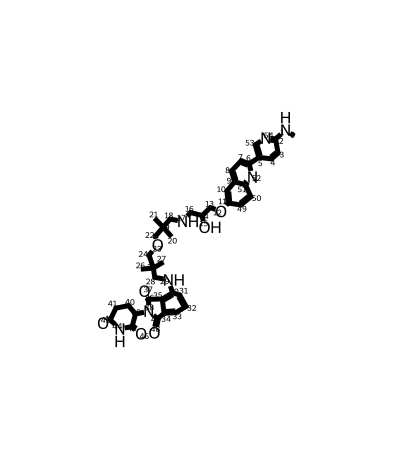 CNc1ccc(-c2ccc3cc(OCC(O)CNCC(C)(C)COCC(C)(C)CNc4cccc5c4C(=O)N(C4CCC(=O)NC4=O)C5=O)ccc3n2)cn1